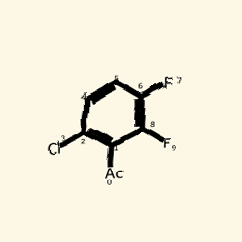 CC(=O)c1c(Cl)ccc(F)c1F